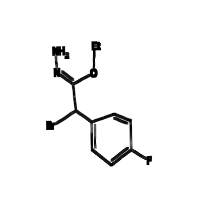 CCO/C(=N\N)C(Br)c1ccc(F)cc1